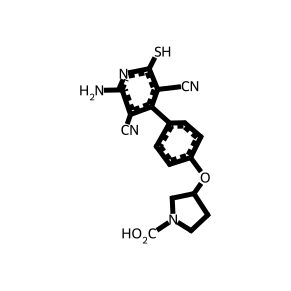 N#Cc1c(N)nc(S)c(C#N)c1-c1ccc(OC2CCN(C(=O)O)C2)cc1